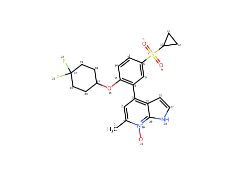 Cc1cc(-c2cc(S(=O)(=O)C3CC3)ccc2OC2CCC(F)(F)CC2)c2cc[nH]c2[n+]1[O-]